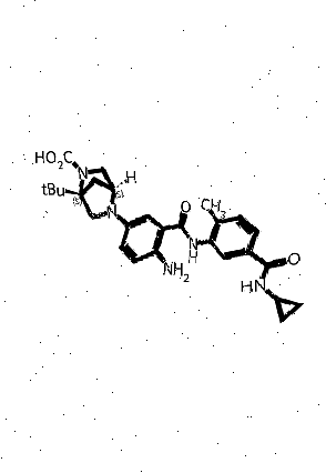 Cc1ccc(C(=O)NC2CC2)cc1NC(=O)c1cc(N2C[C@@]3(C(C)(C)C)C[C@H]2CN3C(=O)O)ccc1N